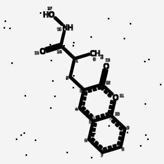 CC(Cc1cc2ccccc2oc1=O)C(=O)NO